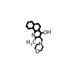 Cc1nc2c(ccc3ccccc32)c(O)c1CN1CCOCC1